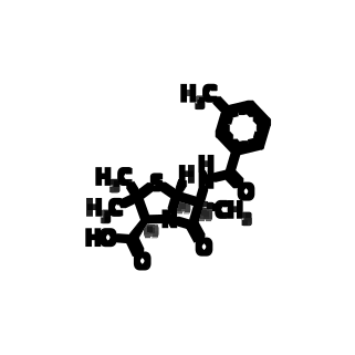 Cc1cccc(C(=O)N[C@@]2(C)C(=O)N3[C@@H](C(=O)O)C(C)(C)S[C@@H]32)c1